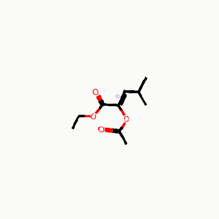 CCOC(=O)/C(=C/C(C)C)OC(C)=O